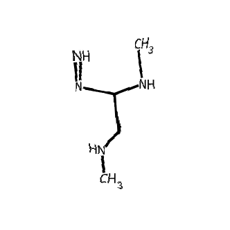 CNCC(N=N)NC